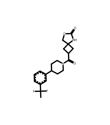 CC(F)(F)c1cccc(C2CCN(C(=O)C3CC4(COC(=O)N4)C3)CC2)c1